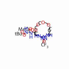 COC(=O)[C@H](CNC(=O)OC(C)(C)C)NC(=O)c1ccc2cc1OCCOCCOCCOc1ccc(cc1)C1(CC1)Nc1nc(nc(OCC(F)(F)F)n1)N2